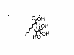 CC(CO)C(O)(CO)CO.CCCCCCCC(=O)O